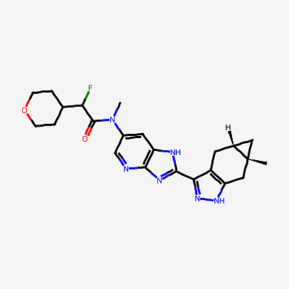 CN(C(=O)C(F)C1CCOCC1)c1cnc2nc(-c3n[nH]c4c3C[C@@H]3C[C@]3(C)C4)[nH]c2c1